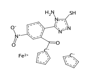 Nn1c(S)nnc1-c1ccc([N+](=O)[O-])cc1C(=O)[c-]1cccc1.[Fe+2].c1cc[cH-]c1